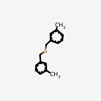 Cc1cccc(CSCc2cccc(C)c2)c1